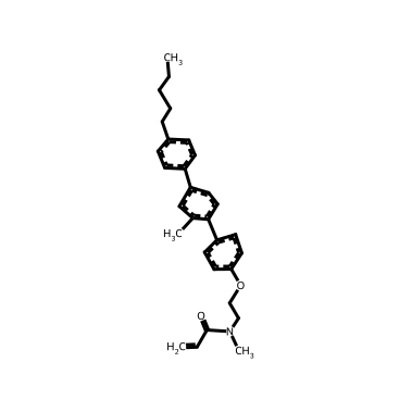 C=CC(=O)N(C)CCOc1ccc(-c2ccc(-c3ccc(CCCCC)cc3)cc2C)cc1